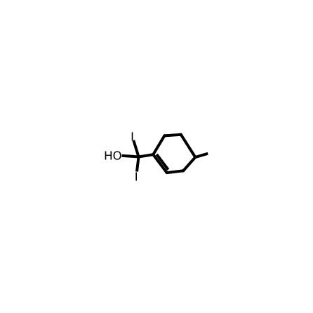 CC1CC=C(C(O)(I)I)CC1